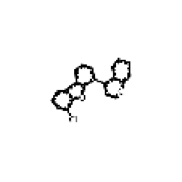 Clc1cccc2c1oc1c(-c3cccc4ccccc34)cccc12